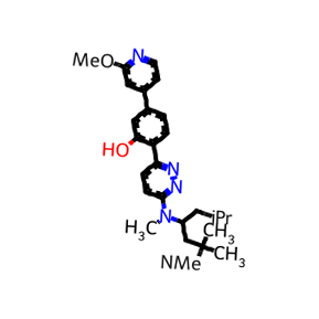 CNC(C)(C)CC(CC(C)C)N(C)c1ccc(-c2ccc(-c3ccnc(OC)c3)cc2O)nn1